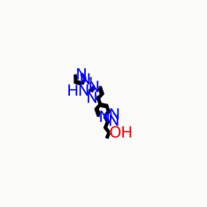 CC(O)Cc1nnc2cc(-c3ccnc(Nc4ccnn4C)n3)ccn12